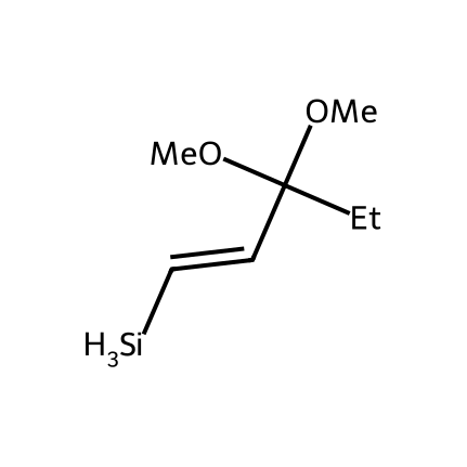 CCC(C=C[SiH3])(OC)OC